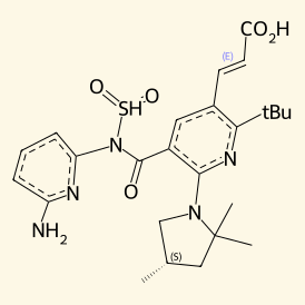 C[C@@H]1CN(c2nc(C(C)(C)C)c(/C=C/C(=O)O)cc2C(=O)N(c2cccc(N)n2)[SH](=O)=O)C(C)(C)C1